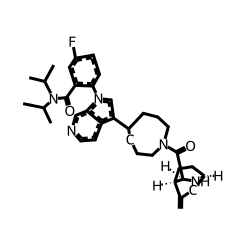 C=C1C[C@@H]2CC[C@H]1[C@@H](C(=O)N1CCCC(c3cn(-c4ccc(F)cc4C(=O)N(C(C)C)C(C)C)c4cnccc34)CCC1)N2